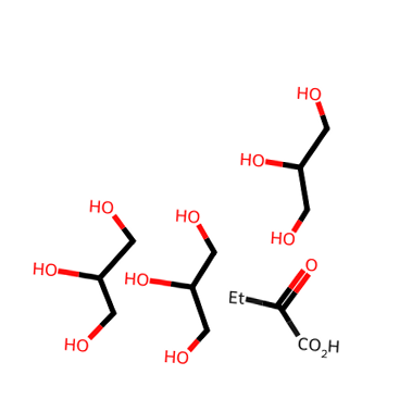 CCC(=O)C(=O)O.OCC(O)CO.OCC(O)CO.OCC(O)CO